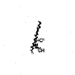 CCCCCCCCCCCCCC(CCCC)N=CCO.Cl